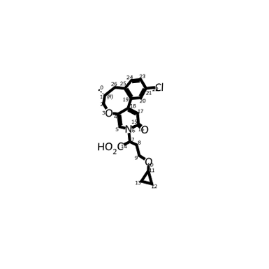 C[C@H]1COc2cn(C(CCOC3CC3)C(=O)O)c(=O)cc2-c2cc(Cl)ccc2C1